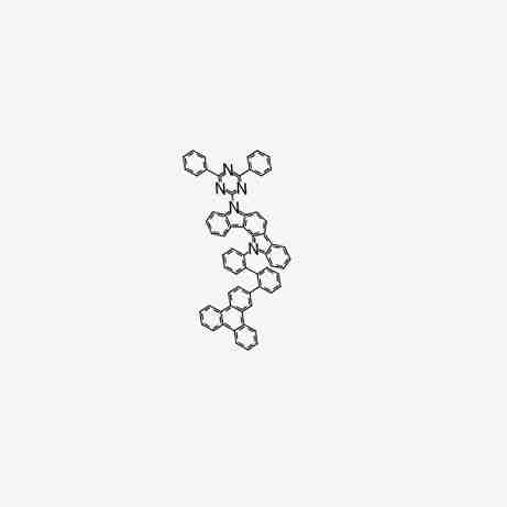 c1ccc(-c2nc(-c3ccccc3)nc(-n3c4ccccc4c4c3ccc3c5ccccc5n(-c5ccccc5-c5ccccc5-c5ccc6c7ccccc7c7ccccc7c6c5)c34)n2)cc1